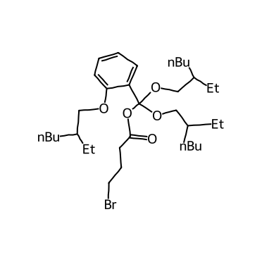 CCCCC(CC)COc1ccccc1C(OCC(CC)CCCC)(OCC(CC)CCCC)OC(=O)CCCBr